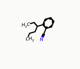 CCCC(CC)c1ccccc1C#N